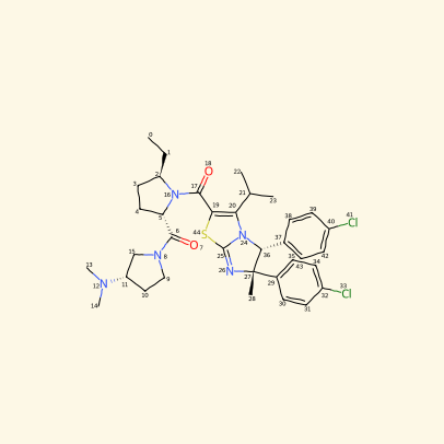 CC[C@@H]1CC[C@@H](C(=O)N2CC[C@H](N(C)C)C2)N1C(=O)C1=C(C(C)C)N2C(=N[C@@](C)(c3ccc(Cl)cc3)[C@H]2c2ccc(Cl)cc2)S1